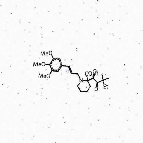 CCC(C)(C)C(=O)C(=O)C1(C(=O)O)CCCCN1C/C=C/c1cc(OC)c(OC)c(OC)c1